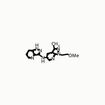 COCCn1nc(C)c2cc(Nc3n[nH]c4cccnc34)cnc21